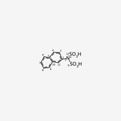 O=S(=O)(O)[N+](c1ccc2ccccc2c1)S(=O)(=O)O